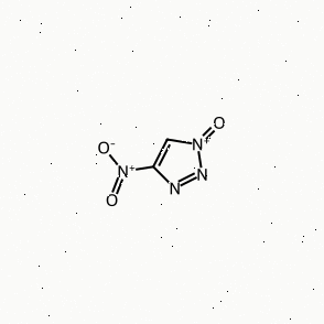 O=[N+]1C=C([N+](=O)[O-])N=N1